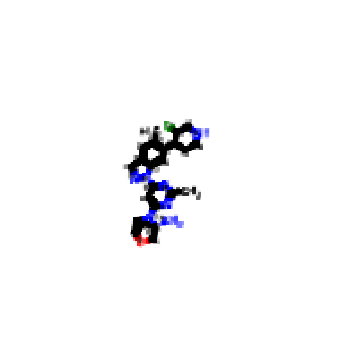 Cc1nc(N2CC3C[C@]2(N)CO3)cc(-n2ncc3cc(C)c(C4CCNCC4F)cc32)n1